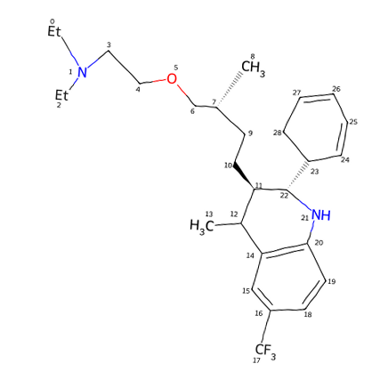 CCN(CC)CCOC[C@H](C)CC[C@@H]1C(C)c2cc(C(F)(F)F)ccc2N[C@H]1C1C=CC=CC1